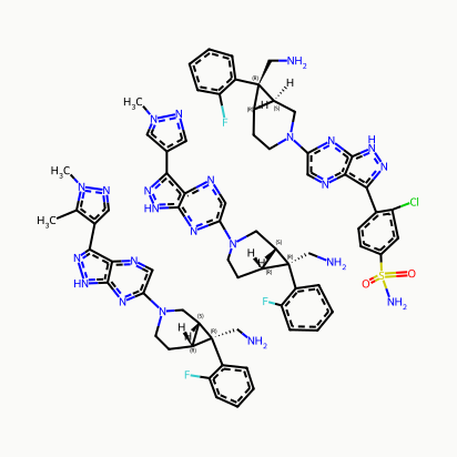 Cc1c(-c2n[nH]c3nc(N4CC[C@@H]5[C@H](C4)[C@@]5(CN)c4ccccc4F)cnc23)cnn1C.Cn1cc(-c2n[nH]c3nc(N4CC[C@@H]5[C@H](C4)[C@@]5(CN)c4ccccc4F)cnc23)cn1.NC[C@]1(c2ccccc2F)[C@@H]2CCN(c3cnc4c(-c5ccc(S(N)(=O)=O)cc5Cl)n[nH]c4n3)C[C@@H]21